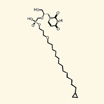 O=c1ccn(C[C@@H](CO)OCP(=O)(O)OCCCOCCCCCCCCCCCCCCC2CC2)c(=O)[nH]1